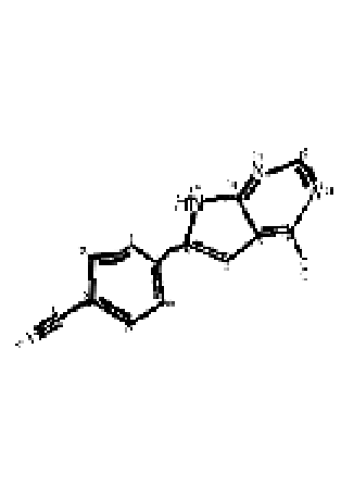 N#Cc1ccc(-c2cc3c(Cl)ncnc3[nH]2)cc1